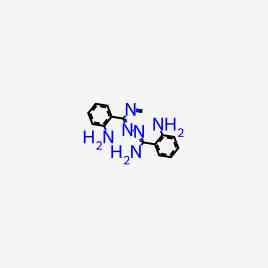 C=N/C(=N\N=C(/N)c1ccccc1N)c1ccccc1N